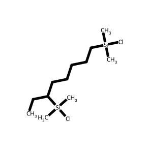 CCC(CCCCC[Si](C)(C)Cl)[Si](C)(C)Cl